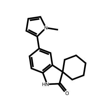 Cn1cccc1-c1ccc2c(c1)C1(CCCCC1)C(=O)N2